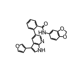 O=C(Nc1ccc2c(c1)OCO2)c1ccccc1-c1cnc2[nH]cc(-c3ccoc3)c2c1